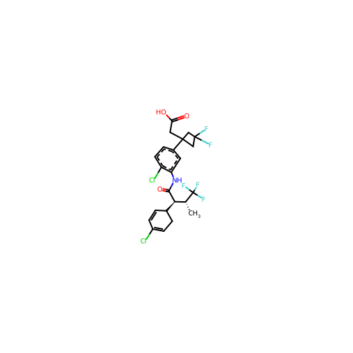 C[C@H]([C@H](C(=O)Nc1cc(C2(CC(=O)O)CC(F)(F)C2)ccc1Cl)C1C=CC(Cl)=CC1)C(F)(F)F